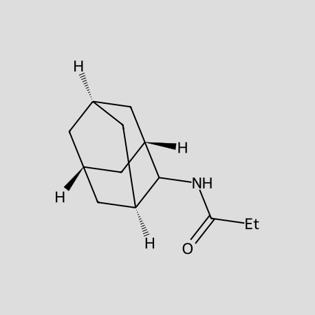 CCC(=O)NC1[C@H]2C[C@@H]3C[C@@H](C[C@H]1C3)C2